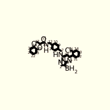 Bc1cnn2c(NCc3ccc(CNC(=O)C4COc5ccccc5O4)cc3)cc(-c3ccccc3Cl)nc12